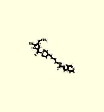 CCc1[nH]c(C(=O)N2CCC(CCCCNC(=O)c3cc4ccncc4s3)CC2)cc1CN